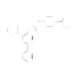 CCNC(=O)N1CCN(Cc2cc3nc(-c4cccc(O)c4)nc(N4CCOCC4)c3s2)CC1